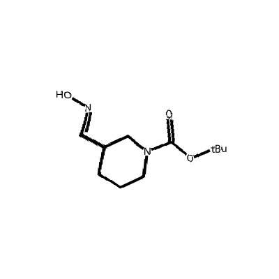 CC(C)(C)OC(=O)N1CCCC(/C=N/O)C1